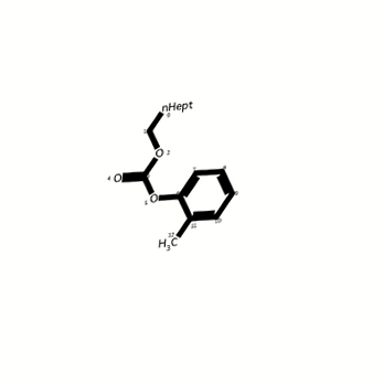 CCCCCCCCOC(=O)Oc1ccccc1C